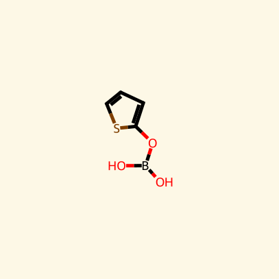 OB(O)Oc1cccs1